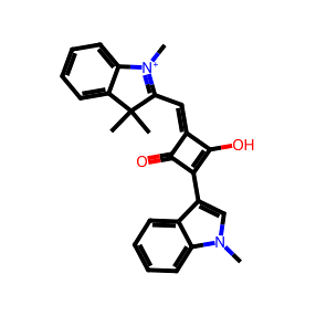 Cn1cc(C2=C(O)/C(=C/C3=[N+](C)c4ccccc4C3(C)C)C2=O)c2ccccc21